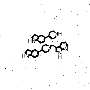 C1=C(c2ccc3[nH]ccc3c2)CCN(Cc2c[nH]c3ncccc23)C1.C1=C(c2ccc3[nH]ccc3c2)CCNC1